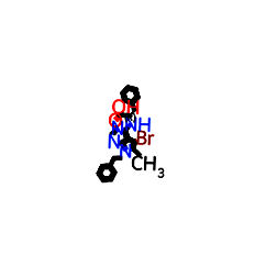 CCc1c(Br)c2c(N[C@H](Cc3ccccc3)C(=O)O)ncnc2n1CCc1ccccc1